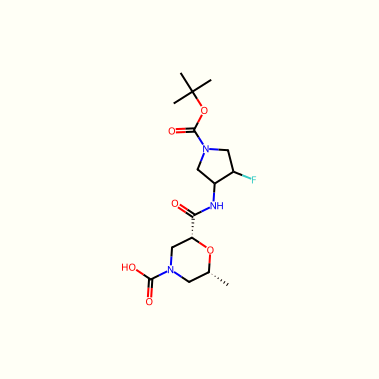 C[C@@H]1CN(C(=O)O)C[C@H](C(=O)NC2CN(C(=O)OC(C)(C)C)CC2F)O1